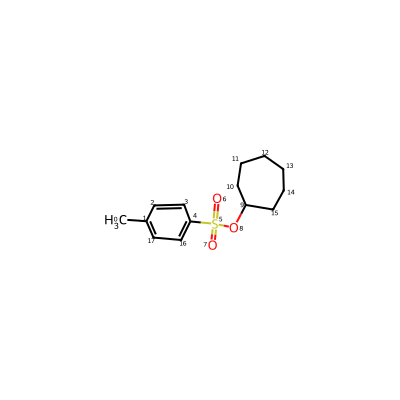 Cc1ccc(S(=O)(=O)OC2CCCCCC2)cc1